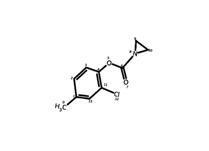 Cc1ccc(OC(=O)N2CC2)c(Cl)c1